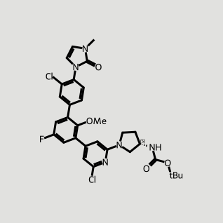 COc1c(-c2cc(Cl)nc(N3CC[C@H](NC(=O)OC(C)(C)C)C3)c2)cc(F)cc1-c1ccc(-n2ccn(C)c2=O)c(Cl)c1